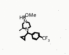 COBN1CCN(C(c2ccc(C(F)(F)F)cc2)C2CC2)[C@@H](C)C1